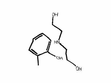 Cc1ccccc1O.OCCNCCO